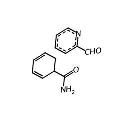 NC(=O)C1C=CC=CC1.O=Cc1ccccn1